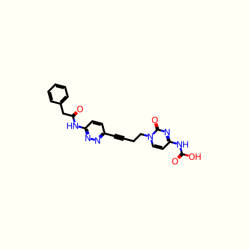 O=C(O)Nc1ccn(CCC#Cc2ccc(NC(=O)Cc3ccccc3)nn2)c(=O)n1